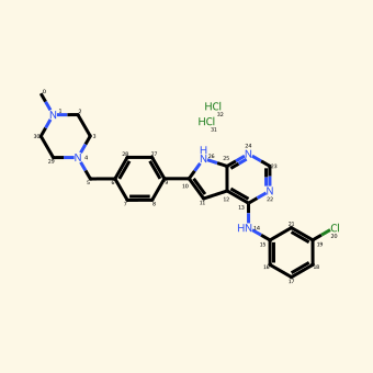 CN1CCN(Cc2ccc(-c3cc4c(Nc5cccc(Cl)c5)ncnc4[nH]3)cc2)CC1.Cl.Cl